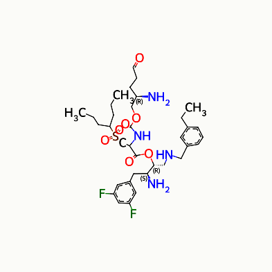 CCCC(CCC)S(=O)(=O)CC(NC(=O)OC[C@H](N)CCC=O)C(=O)O[C@H](CNCc1cccc(CC)c1)[C@@H](N)Cc1cc(F)cc(F)c1